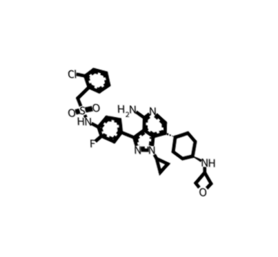 Nc1ncc([C@H]2CC[C@H](NC3COC3)CC2)c2c1c(-c1ccc(NS(=O)(=O)Cc3ccccc3Cl)c(F)c1)nn2C1CC1